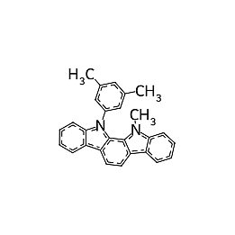 Cc1cc(C)cc(-n2c3ccccc3c3ccc4c5ccccc5n(C)c4c32)c1